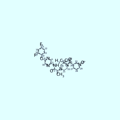 C[C@@H](C(=O)Nc1cnc(Oc2ccc(F)cc2F)cn1)N1CCN(C(=O)c2ccc[n+]([O-])c2)C(C)(C)C1